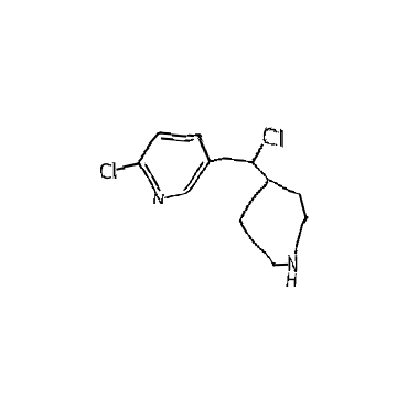 Clc1ccc(C(Cl)C2CCNCC2)cn1